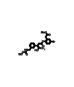 CC/C(=C\C(=C(/C)O)c1cccc(CNC(=O)OC(C)(C)C)c1)Oc1ccc(Br)cc1CC(=O)OC